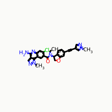 CCN(C(=O)c1cc2c(cc1Cl)nc(N)c1cnn(C)c12)C1COc2cc(C#Cc3cnn(C)c3)ccc21